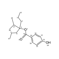 CCCC(CCC)(OC(=O)c1ccc(O)cc1)C(C)C